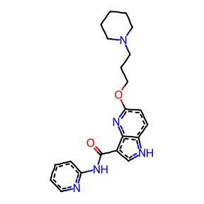 O=C(Nc1ccccn1)c1c[nH]c2ccc(OCCCN3CCCCC3)nc12